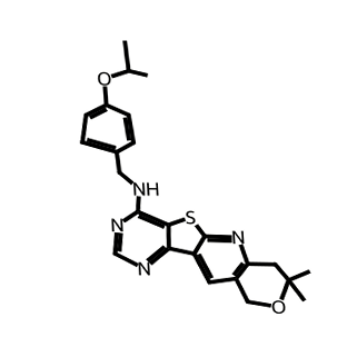 CC(C)Oc1ccc(CNc2ncnc3c2sc2nc4c(cc23)COC(C)(C)C4)cc1